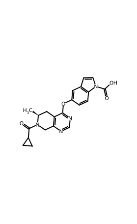 C[C@H]1Cc2c(ncnc2Oc2ccc3c(ccn3C(=O)O)c2)CN1C(=O)C1CC1